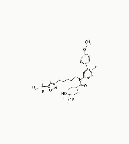 CCOc1ccc(-c2cc(N(CCCCCc3noc(C(C)(F)F)n3)C(=O)C3CCC(O)(C(F)(F)F)CC3)ccc2F)cc1